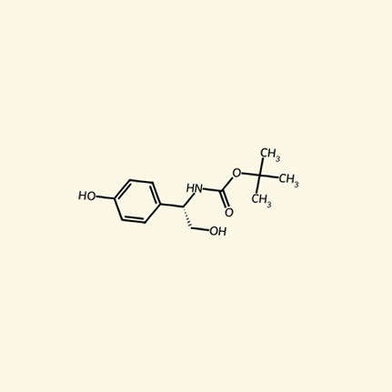 CC(C)(C)OC(=O)N[C@H](CO)c1ccc(O)cc1